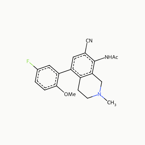 COc1ccc(F)cc1-c1cc(C#N)c(NC(C)=O)c2c1CCN(C)C2